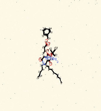 CCCCCCCCC[C@@H](CC(N)=O)N(CCCCC)C(=O)[C@H](CCCC(=O)OCc1ccccc1)NC(=O)OC(C)(C)C